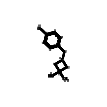 CC1(O)CN(Cc2ccc(Br)cc2)C1